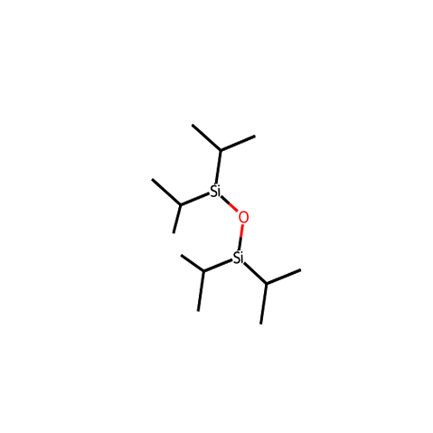 CC(C)[Si](O[Si](C(C)C)C(C)C)C(C)C